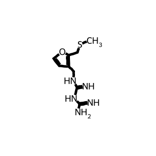 CSCc1occc1CNC(=N)NC(=N)N